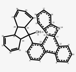 OC1(c2cccc3c4ccccc4c4nc5ccccc5n4c23)C2C=CC=CC2C2C=CC=CC21